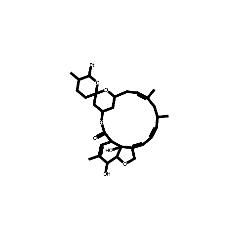 CCC1OC2(CCC1C)CC1CC(C/C=C(/C)CC(C)/C=C\C=C3\COC4C(O)C(C)=CC(C(=O)O1)C34O)O2